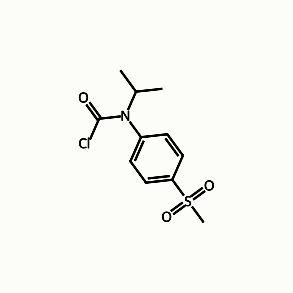 CC(C)N(C(=O)Cl)c1ccc(S(C)(=O)=O)cc1